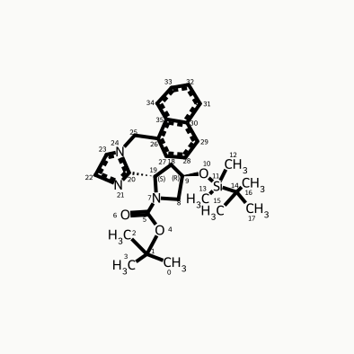 CC(C)(C)OC(=O)N1C[C@H](O[Si](C)(C)C(C)(C)C)C[C@H]1c1nccn1Cc1cccc2ccccc12